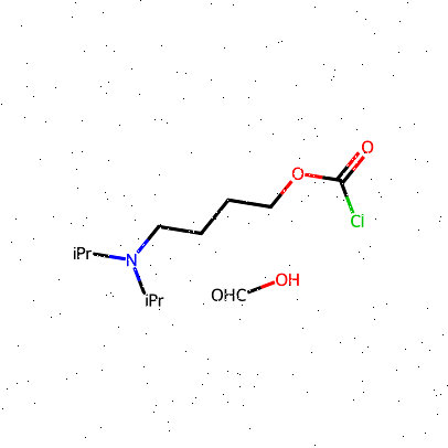 CC(C)N(CCCCOC(=O)Cl)C(C)C.O=CO